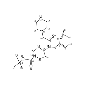 Cc1cccc(CN(C(=S)CC2CCOCC2)C2CCN(C(=O)OC(C)(C)C)CC2)c1